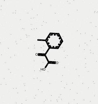 Cc1ccccc1C(=O)C(=O)O